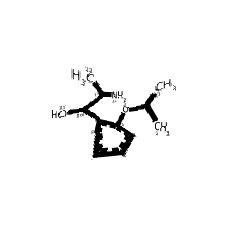 CC(C)Oc1ccccc1C(O)C(C)N